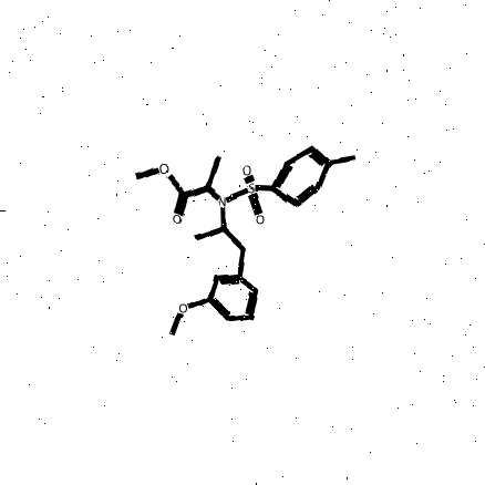 COC(=O)C(C)N(C(C)Cc1cccc(OC)c1)S(=O)(=O)c1ccc(C)cc1